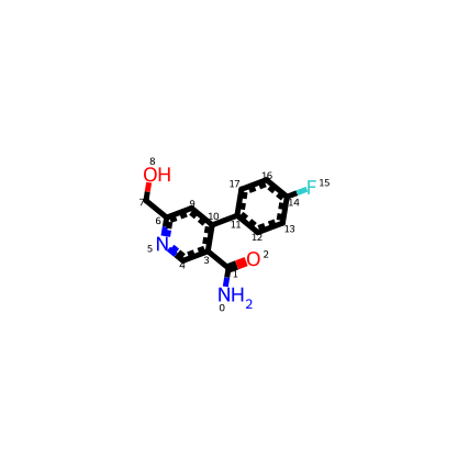 NC(=O)c1cnc(CO)cc1-c1ccc(F)cc1